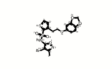 Cc1noc(NS(=O)(=O)c2sccc2CCOc2ccc3c(c2)OCO3)c1Br